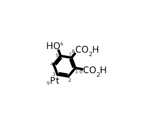 O=C(O)c1cccc(O)c1C(=O)O.[Pt]